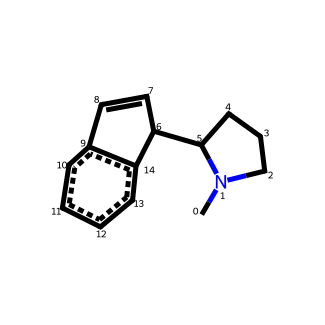 CN1CCCC1C1C=Cc2ccccc21